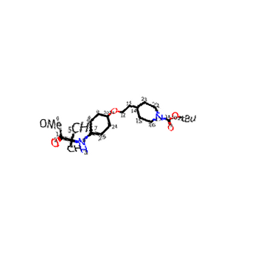 COC(=O)C(C)(C)NC1CCC(OCCC2CCN(C(=O)OC(C)(C)C)CC2)CC1